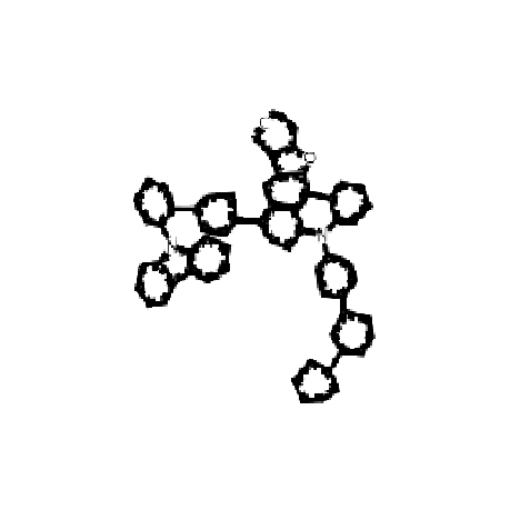 c1ccc(-c2cccc(-c3ccc(N(c4ccc(-c5ccc(-c6ccccc6-n6c7ccccc7c7ccccc76)cc5)cc4)c4ccccc4-c4cccc5c4oc4ccccc45)cc3)c2)cc1